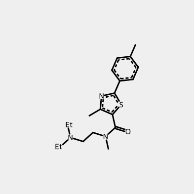 CCN(CC)CCN(C)C(=O)c1sc(-c2ccc(C)cc2)nc1C